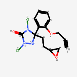 C#CCOc1ccccc1C1(CCC2CO2)NN(Cl)C(=O)N1Cl